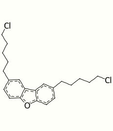 ClCCCCCc1ccc2oc3ccc(CCCCCCl)cc3c2c1